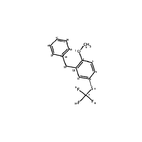 COc1ccc(SC(F)(F)F)cc1Cc1ccccc1